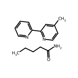 CCCCC(N)=O.Cc1ccnc(-c2ccccn2)c1